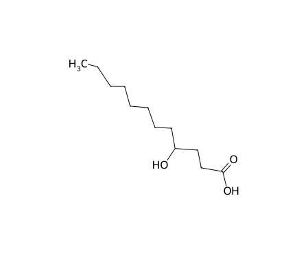 CCCCCCCCC(O)CCC(=O)O